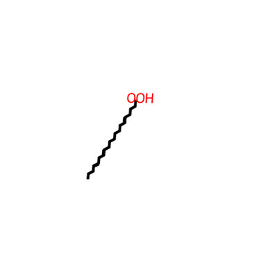 CCCC=CCC=CCCCCCCC=CCCCC(=O)O